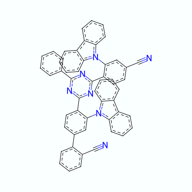 N#Cc1ccc(-c2nc(-c3ccccc3)nc(-c3ccc(-c4ccccc4C#N)cc3-n3c4ccccc4c4ccccc43)n2)c(-n2c3ccccc3c3ccccc32)c1